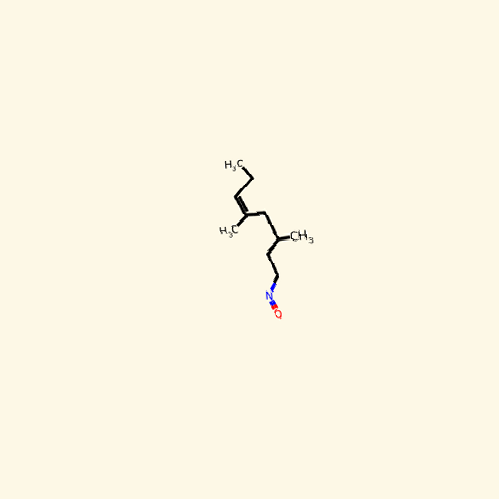 CCC=C(C)CC(C)CCN=O